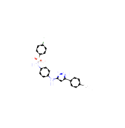 O=[N+]([O-])c1ccc(-c2cc(Nc3ccc(NS(=O)(=O)c4ccc(F)cc4)cc3)n[nH]2)cc1